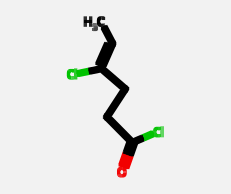 CC=C(Cl)CCC(=O)Cl